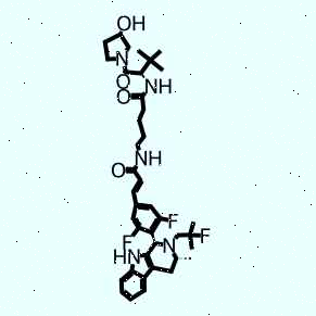 C[C@@H]1Cc2c([nH]c3ccccc23)[C@@H](c2c(F)cc(/C=C/C(=O)NCCCCC(=O)N[C@H](C(=O)N3CC[C@@H](O)C3)C(C)(C)C)cc2F)N1CC(C)(C)F